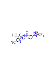 N#Cc1ccc(N2CCN(C(=O)c3cccc(-c4noc(C(F)(F)F)n4)c3)CC2C(=O)O)nc1